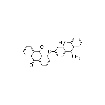 Cc1ccccc1C(C)c1ccc(Oc2cccc3c2C(=O)c2ccccc2C3=O)cc1